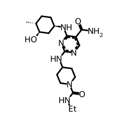 CCNC(=O)N1CCC(Nc2ncc(C(N)=O)c(N[C@@H]3CC[C@@H](C)[C@H](O)C3)n2)CC1